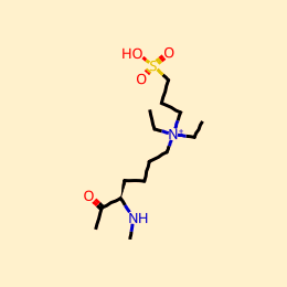 CC[N+](CC)(CCCC[C@@H](NC)C(C)=O)CCCS(=O)(=O)O